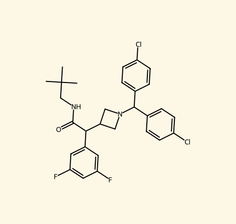 CC(C)(C)CNC(=O)C(c1cc(F)cc(F)c1)C1CN(C(c2ccc(Cl)cc2)c2ccc(Cl)cc2)C1